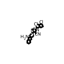 N#Cc1c(N2CCC3(CC2)Cc2ccccc2[C@H]3N)ncn2cc(-c3cccc(Cl)c3Cl)nc12